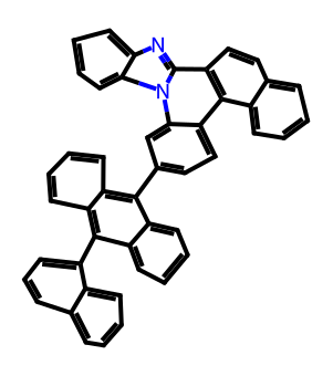 c1ccc2c(-c3c4ccccc4c(-c4ccc5c6c7ccccc7ccc6c6nc7ccccc7n6c5c4)c4ccccc34)cccc2c1